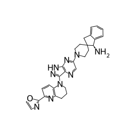 N[C@@H]1c2ccccc2CC12CCN(c1cnc3c(N4CCCc5nc(-c6ncco6)ccc54)n[nH]c3n1)CC2